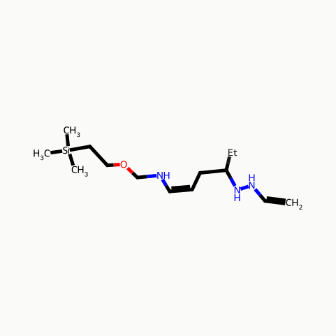 C=CNNC(CC)C/C=C\NCOCC[Si](C)(C)C